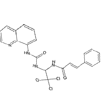 O=C(/C=C/c1ccccc1)NC(NC(=O)Nc1cccc2cccnc12)C(Cl)(Cl)Cl